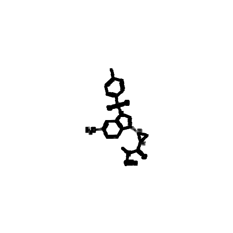 CON(C)C(=O)[C@@H]1C[C@H]1c1cn(S(=O)(=O)c2ccc(C)cc2)c2cc(C(F)(F)F)ccc12